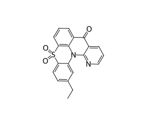 CCc1ccc2c(c1)-n1c3ncccc3c(=O)c3cccc(c31)S2(=O)=O